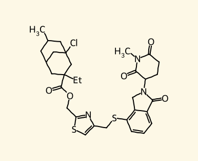 CCC1(C(=O)OCc2nc(CSc3cccc4c3CN(C3CCC(=O)N(C)C3=O)C4=O)cs2)CC2CC(C)CC(Cl)(C2)C1